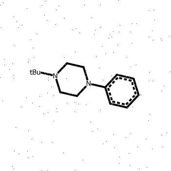 CC(C)(C)N1CCN(c2cc[c]cc2)CC1